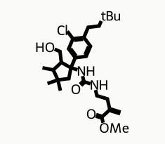 C=C(CCNC(=O)NC1(c2ccc(CCC(C)(C)C)c(Cl)c2)CC(C)(C)C(C)C1CO)C(=O)OC